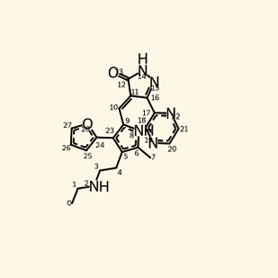 CCNCCc1c(C)[nH]c(/C=C2/C(=O)NN=C2c2cnccn2)c1-c1ccco1